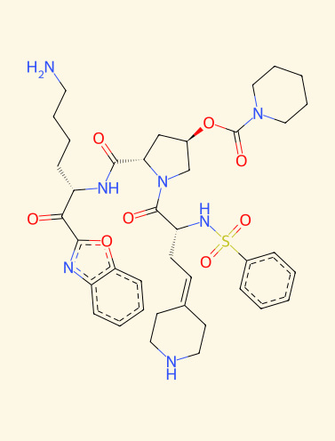 NCCCC[C@H](NC(=O)[C@@H]1C[C@@H](OC(=O)N2CCCCC2)CN1C(=O)[C@@H](CC=C1CCNCC1)NS(=O)(=O)c1ccccc1)C(=O)c1nc2ccccc2o1